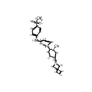 CS(=O)(=O)c1ccc(Nc2ccn(C3CCC(N4CC5(CCC5)C4)CC3C#N)n2)cc1